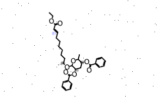 CCOC(=O)/C=C/CCCCCC[C@@H](C)OC1OC(C)[C@H](OC(=O)c2ccccc2)C[C@@H]1OC(=O)c1ccccc1